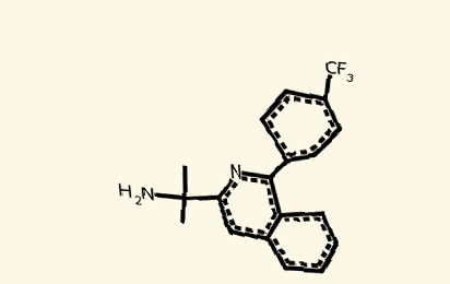 CC(C)(N)c1cc2ccccc2c(-c2ccc(C(F)(F)F)cc2)n1